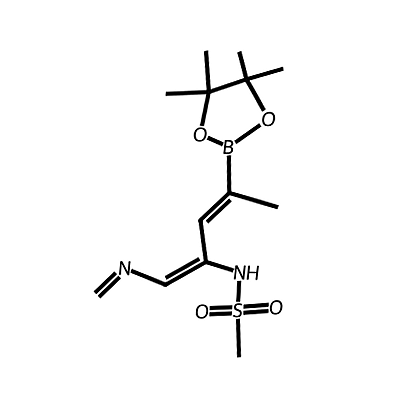 C=N/C=C(\C=C(/C)B1OC(C)(C)C(C)(C)O1)NS(C)(=O)=O